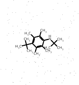 Cc1c(C)c(C(C)(C)C)c(C)c(C)c1NC(C)(C)C